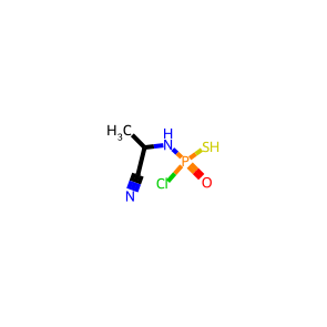 CC(C#N)NP(=O)(S)Cl